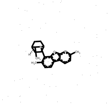 Cc1ccc2c(n1)oc1c(N3C4CCC(CC4)[C@@H]3C)c(C)ccc12